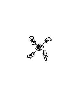 C=C[Si](C=C)(OCCC[Si]1(C)O[Si](C)(CCCO[Si](C=C)(C=C)c2ccccc2)O[Si](C)(CCCO[Si](C=C)(C=C)c2ccccc2)O[Si](C)(CCCO[Si](C=C)(C=C)c2ccccc2)O1)c1ccccc1